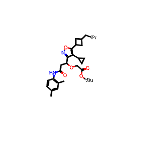 Cc1ccc(NC(=O)CC(OCC(=O)OC(C)(C)C)c2noc(C3CC(CC(C)C)C3)c2C2CC2)c(C)c1